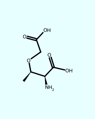 C[C@@H](OCC(=O)O)[C@H](N)C(=O)O